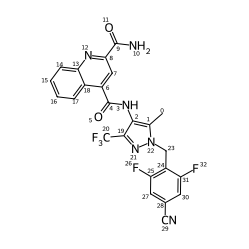 Cc1c(NC(=O)c2cc(C(N)=O)nc3ccccc23)c(C(F)(F)F)nn1Cc1c(F)cc(C#N)cc1F